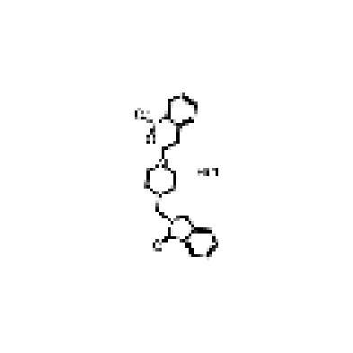 Cl.O=C1c2ccccc2CN1CC1CCN(CCc2ccccc2[N+](=O)[O-])CC1